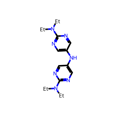 CCN(CC)c1ncc(Nc2cnc(N(CC)CC)nc2)cn1